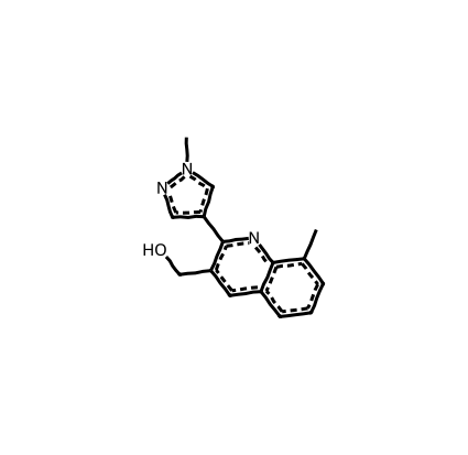 Cc1cccc2cc(CO)c(-c3cnn(C)c3)nc12